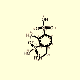 Cc1c(S(=O)(=O)O)ccc(CN)c1S(=O)(=O)O